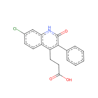 O=C(O)CCc1c(-c2ccccc2)c(=O)[nH]c2cc(Cl)ccc12